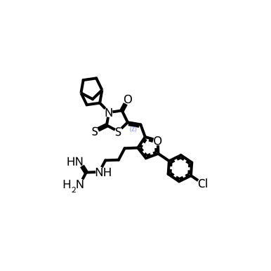 N=C(N)NCCCc1cc(-c2ccc(Cl)cc2)oc1/C=C1\SC(=S)N(C2CC3CCC2C3)C1=O